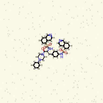 O=C([C@H](Cc1ccc(NS(=O)(=O)c2cccc3cnccc23)cc1)NS(=O)(=O)c1cccc2cnccc12)N1CCN(c2ccccc2)CC1